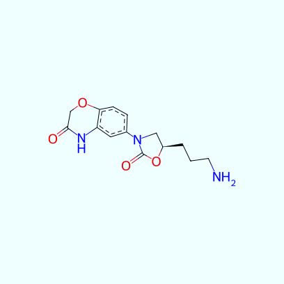 NCCC[C@@H]1CN(c2ccc3c(c2)NC(=O)CO3)C(=O)O1